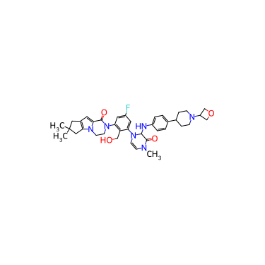 CN1C=CN(c2cc(F)cc(N3CCn4c(cc5c4CC(C)(C)C5)C3=O)c2CO)C(Nc2ccc(C3CCN(C4COC4)CC3)cc2)C1=O